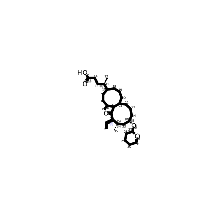 C/C=C1/C(=O)C2C(C)CCC([C@H](C)CCC(=O)O)CCCC2CCC[C@@H](OC2CCCCO2)C[C@@H]1C